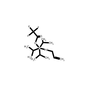 C=C[CH2][Pd][P](OC(=O)C(F)(F)F)(C(C)C)(C(C)C)C(C)C